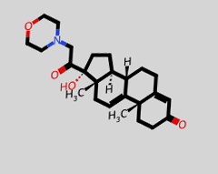 C[C@]12CCC(=O)C=C1CC[C@@H]1C2=CC[C@@]2(C)[C@H]1CC[C@]2(O)C(=O)CN1CCOCC1